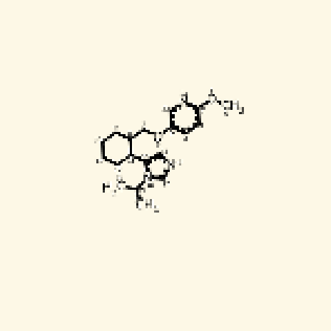 COc1ccc(OCC2CCCCC2c2cncn2C(C)C)cn1